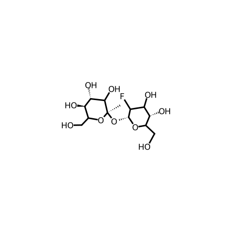 C[C@]1(O[C@H]2OC(CO)[C@@H](O)C(O)C2F)OC(CO)[C@@H](O)[C@H](O)C1O